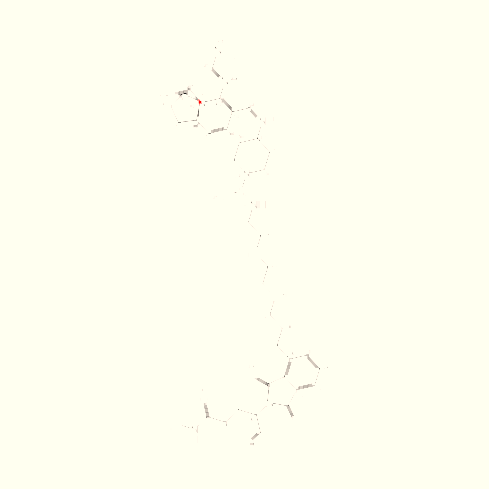 CNC(=O)CCC(C=O)N1C(=O)c2cccc(CCCOCCOCCN[S+]([O-])N3CCC(\N=C/C(/C=C\C4CCCC4)=C(\N=C\N)NC=O)CC3)c2C1=O